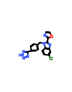 Clc1ccc2c(c1)nc(-c1ncco1)n2Cc1ccc(-c2nn[nH]n2)cc1